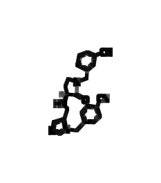 N#Cc1ccc(Cn2cncc2CN[C@H]2CCN(Cc3cccc(C#N)c3)C2=O)cc1